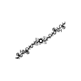 C=CC(=O)OCCNC(=O)OCCOCCC[Si](C)(C)c1ccc([Si](C)(C)CCCOCCOC(=O)NCCOC(=O)C=C)cc1